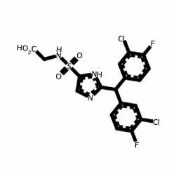 O=C(O)CNS(=O)(=O)c1cnc(C(c2ccc(F)c(Cl)c2)c2ccc(F)c(Cl)c2)[nH]1